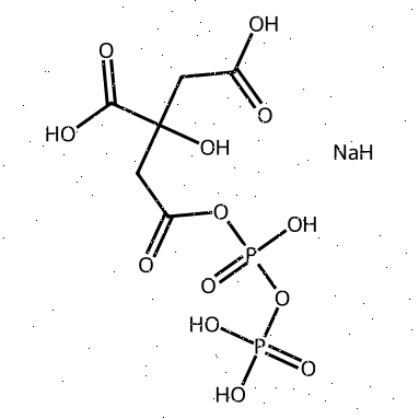 O=C(O)CC(O)(CC(=O)OP(=O)(O)OP(=O)(O)O)C(=O)O.[NaH]